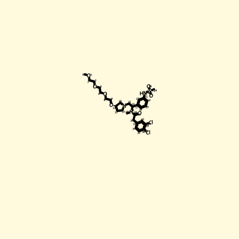 COCCOCCOCCO[C@H]1CCN(CC(c2cccc(NS(C)(=O)=O)c2)N(C)C(=O)Cc2ccc(Cl)c(Cl)c2)C1